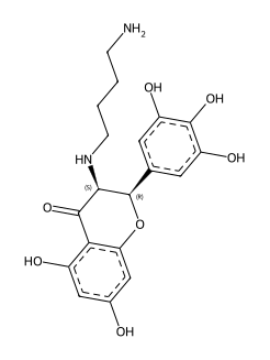 NCCCCN[C@@H]1C(=O)c2c(O)cc(O)cc2O[C@@H]1c1cc(O)c(O)c(O)c1